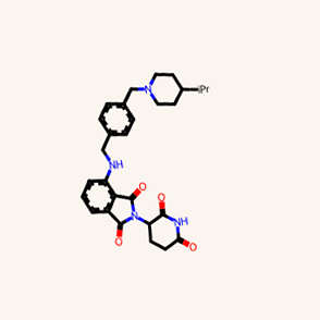 CC(C)C1CCN(Cc2ccc(CNc3cccc4c3C(=O)N(C3CCC(=O)NC3=O)C4=O)cc2)CC1